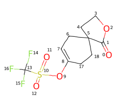 O=C1OCCC12CC=C(OS(=O)(=O)C(F)(F)F)CC2